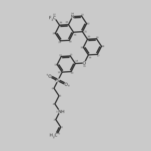 C=CCNCCCS(=O)(=O)c1cccc(Oc2cccc(-c3ccnc4c(C(F)(F)F)cccc34)c2)c1